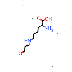 NC(CCCCNC=CC=O)C(=O)O